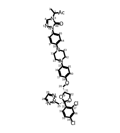 CC(=O)C(C)n1cnn(-c2ccc(N3CCN(c4ccc(OC[C@@H]5CO[C@@](Cn6nccn6)(c6ccc(Cl)cc6Cl)O5)cc4)CC3)cc2)c1=O